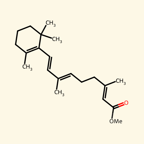 COC(=O)C=C(C)CCC=C(C)C=CC1=C(C)CCCC1(C)C